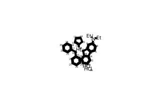 CCN(CC)c1ccc2c(c1)[CH]([Hf]([C]1=CC=CC1)=[C](c1ccccc1)c1ccccc1)c1ccccc1-2.Cl.Cl